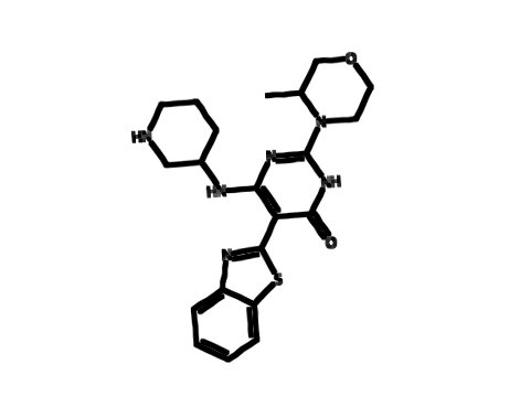 CC1COCCN1c1nc(NC2CCCNC2)c(-c2nc3ccccc3s2)c(=O)[nH]1